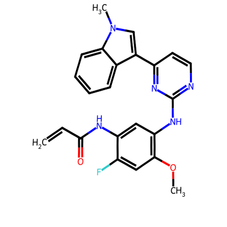 C=CC(=O)Nc1cc(Nc2nccc(-c3cn(C)c4ccccc34)n2)c(OC)cc1F